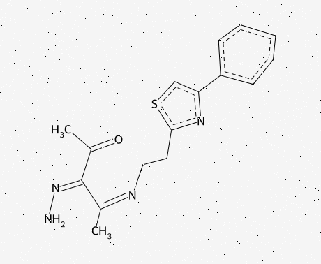 CC(=O)C(=N/N)/C(C)=N\CCc1nc(-c2ccccc2)cs1